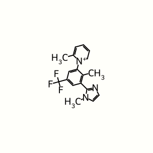 Cc1c(-c2nccn2C)cc(C(F)(F)F)cc1-[n+]1ccccc1C